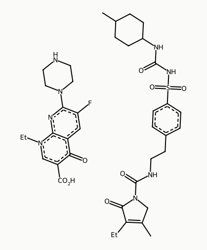 CCC1=C(C)CN(C(=O)NCCc2ccc(S(=O)(=O)NC(=O)NC3CCC(C)CC3)cc2)C1=O.CCn1cc(C(=O)O)c(=O)c2cc(F)c(N3CCNCC3)nc21